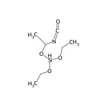 CCO[SiH](OCC)OC(C)N=C=O